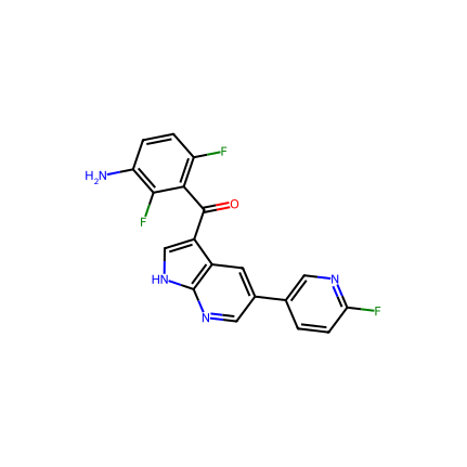 Nc1ccc(F)c(C(=O)c2c[nH]c3ncc(-c4ccc(F)nc4)cc23)c1F